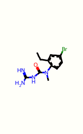 CCc1cc(Br)ccc1N(C)C(=O)NC(=N)N